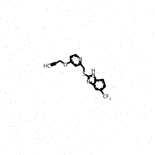 C#CCOc1ccnc(CSc2nc3cc(C(F)(F)F)ccc3[nH]2)c1